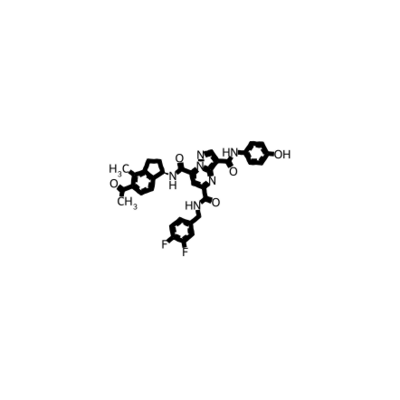 CC(=O)c1ccc2c(c1C)CC[C@@H]2NC(=O)c1cc(C(=O)NCc2ccc(F)c(F)c2)nc2c(C(=O)Nc3ccc(O)cc3)cnn12